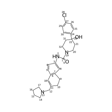 O=C(Nc1ccc2c(c1)CCC(CN1CCCC1)=C2)N1CCC(O)(c2ccc(Cl)cc2)CC1